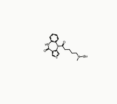 CN(CCCCC(=O)N1c2ccccc2NC(=O)c2cscc21)C(C)(C)C